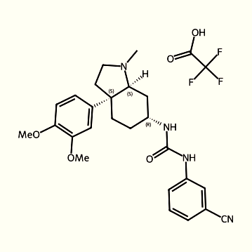 COc1ccc([C@@]23CC[C@@H](NC(=O)Nc4cccc(C#N)c4)C[C@@H]2N(C)CC3)cc1OC.O=C(O)C(F)(F)F